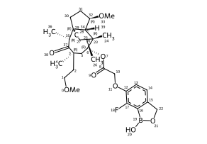 COCC[C@]1(C)C[C@@H](OC(=O)COc2ccc3c(c2F)B(O)OC3)[C@]2(C)[C@H](C)CC[C@]3(CC[C@@H](OC)[C@@H]32)[C@@H](C)C1=O